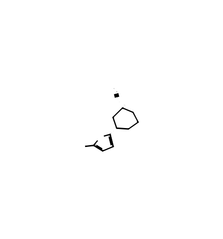 Cc1ccc([C@H]2CCC[C@@H](C#N)C2)o1